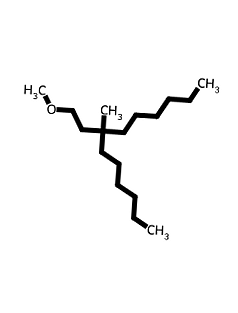 CCCCCCC(C)(CCCCCC)CCOC